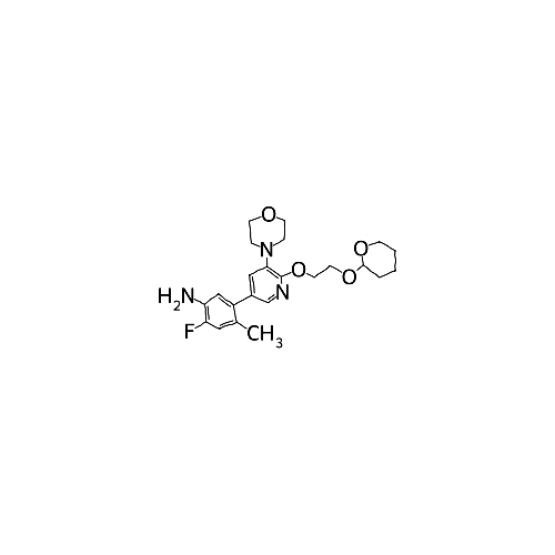 Cc1cc(F)c(N)cc1-c1cnc(OCCOC2CCCCO2)c(N2CCOCC2)c1